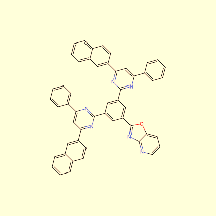 c1ccc(-c2cc(-c3ccc4ccccc4c3)nc(-c3cc(-c4nc(-c5ccccc5)cc(-c5ccc6ccccc6c5)n4)cc(-c4nc5ncccc5o4)c3)n2)cc1